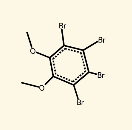 COc1c(Br)c(Br)c(Br)c(Br)c1OC